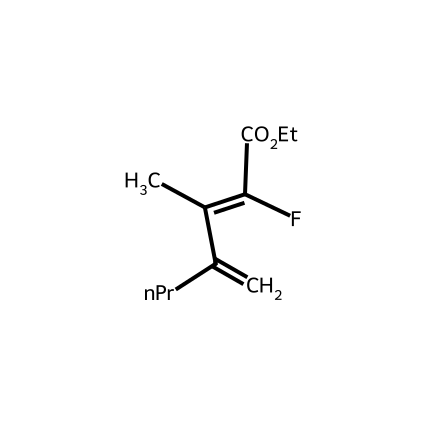 C=C(CCC)/C(C)=C(\F)C(=O)OCC